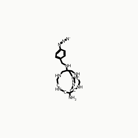 [N-]=[N+]=Nc1ccc(CNC23CNCCNCC(N)(CNCCNC2)CNCCNC3)cc1